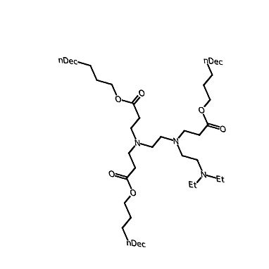 CCCCCCCCCCCCCOC(=O)CCN(CCC(=O)OCCCCCCCCCCCCC)CCN(CCC(=O)OCCCCCCCCCCCCC)CCN(CC)CC